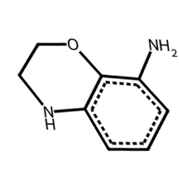 Nc1cccc2c1OCCN2